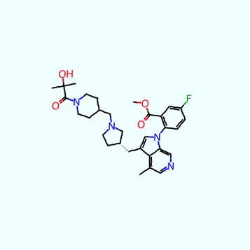 COC(=O)c1cc(F)ccc1-n1cc(C[C@@H]2CCN(CC3CCN(C(=O)C(C)(C)O)CC3)C2)c2c(C)cncc21